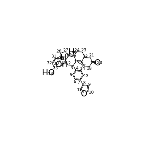 C[C@]12C[C@H](c3ccc(-c4ccoc4)cc3)C3=C4CCC(=O)C=C4CC[C@H]3[C@@H]1CC[C@@]2(O)/C=C\CO